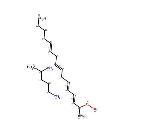 CCCCCC(/C=C/C=C/C/C=C/C/C=C/CCCC(=O)O)OO.NCCCC(N)C(=O)O